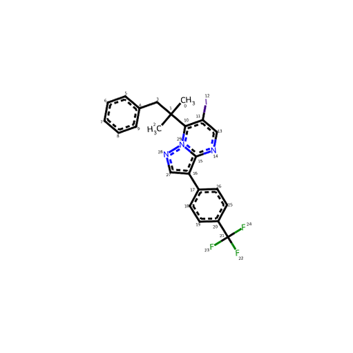 CC(C)(Cc1ccccc1)c1c(I)cnc2c(-c3ccc(C(F)(F)F)cc3)cnn12